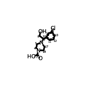 O=C(O)N1CCN(C(CO)c2cccc(Cl)c2)CC1